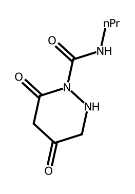 CCCNC(=O)N1NCC(=O)CC1=O